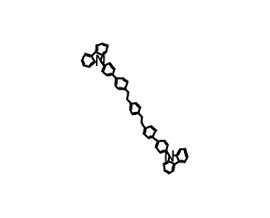 c1ccc2c(c1)c1ccccc1n2-c1ccc(-c2ccc(CCc3ccc(CCc4ccc(-c5ccc(-n6c7ccccc7c7ccccc76)cc5)cc4)cc3)cc2)cc1